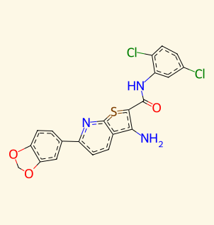 Nc1c(C(=O)Nc2cc(Cl)ccc2Cl)sc2nc(-c3ccc4c(c3)OCO4)ccc12